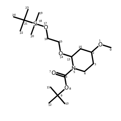 COC1CCN(C(=O)OC(C)(C)C)C(OCCO[Si](C)(C)C(C)(C)C)C1